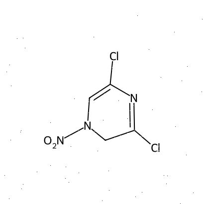 O=[N+]([O-])N1C=C(Cl)N=C(Cl)C1